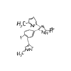 Cc1cccc(-c2nc(C(C)C)[nH]c2-c2ccc(F)c(-c3cnn(C)c3)c2)n1